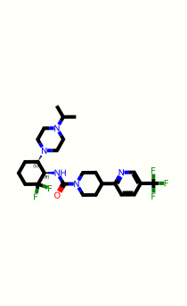 CC(C)N1CCN([C@H]2CCCC(F)(F)[C@@H]2NC(=O)N2CCC(c3ccc(C(F)(F)F)cn3)CC2)CC1